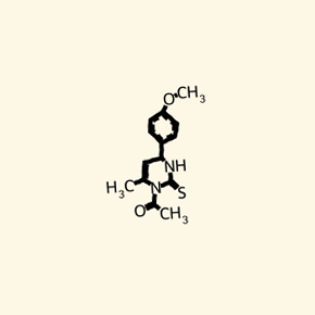 COc1ccc(C2C=C(C)N(C(C)=O)C(=S)N2)cc1